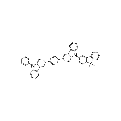 CC1(C)c2ccccc2-c2cc(N3c4ccccc4C4C=C(C5C=CC(C6CC=C7C(C6)C6=C(C=CCC6)N7c6ccccc6)=CC5)C=CC43)ccc21